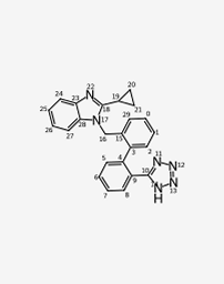 c1ccc(-c2ccccc2-c2nnn[nH]2)c(Cn2c(C3CC3)nc3ccccc32)c1